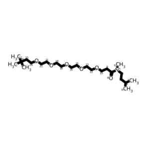 CC(C)CCN(C)C(=O)CCOCCOCCOCCOCCOCCC(C)(C)C